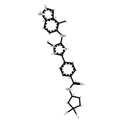 Cc1c(Nc2nc(-c3ccc(C(=O)NC4CCC(F)(F)C4)cc3)nn2C)ccc2[nH]ncc12